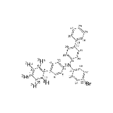 [2H]c1c([2H])c([2H])c(-c2ccc(N(c3ccc(Br)cc3)c3ccc(-c4ccccc4)cc3)cc2)c([2H])c1[2H]